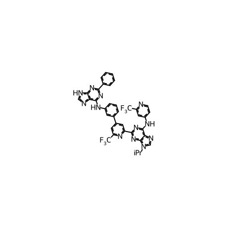 CC(C)n1cnc2c(Nc3ccnc(C(F)(F)F)c3)nc(-c3cc(-c4cccc(Nc5nc(-c6ccccc6)nc6[nH]cnc56)c4)cc(C(F)(F)F)n3)nc21